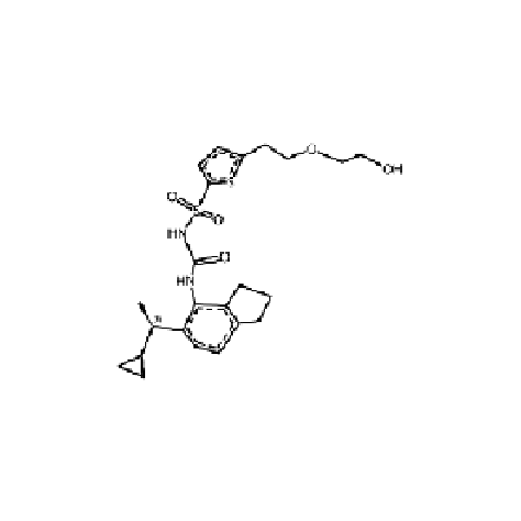 C[C@@H](c1ccc2c(c1NC(=O)NS(=O)(=O)c1ccc(CCOCCO)s1)CCC2)C1CC1